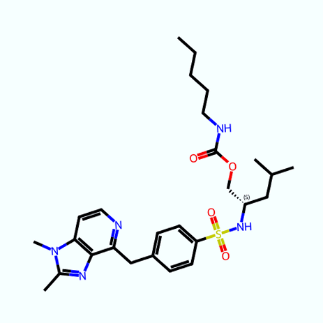 CCCCCNC(=O)OC[C@H](CC(C)C)NS(=O)(=O)c1ccc(Cc2nccc3c2nc(C)n3C)cc1